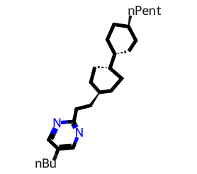 CCCCC[C@H]1CC[C@H]([C@H]2CC[C@H](CCc3ncc(CCCC)cn3)CC2)CC1